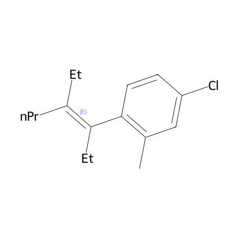 CCC/C(CC)=C(\CC)c1ccc(Cl)cc1C